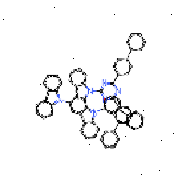 c1ccc(-c2ccc(-c3nc(-c4cccc(-c5ccccc5)c4)nc(-n4c5ccccc5c5c(-n6c7ccccc7c7ccccc76)cc6c7ccccc7n(-c7cccc(-c8ccccc8)c7)c6c54)n3)cc2)cc1